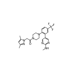 CNc1ncc(-c2cc(C(F)(F)F)ccc2N2CCN(C(=O)Cn3nc(C)cc3C)CC2)cn1